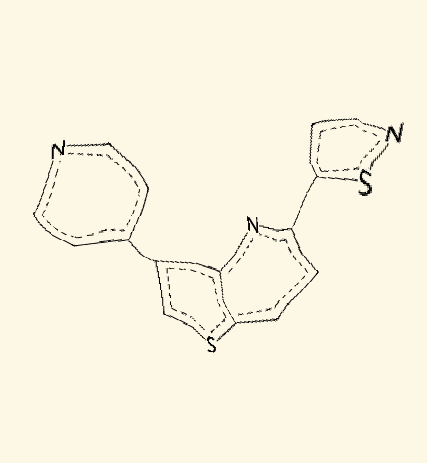 c1cc(-c2csc3ccc(-c4ccns4)nc23)ccn1